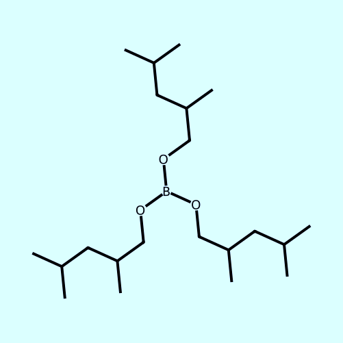 CC(C)CC(C)COB(OCC(C)CC(C)C)OCC(C)CC(C)C